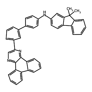 CC1(C)c2ccccc2-c2ccc(Nc3ccc(-c4cccc(-c5cnc6c7ccccc7c7ccccc7c6n5)c4)cc3)cc21